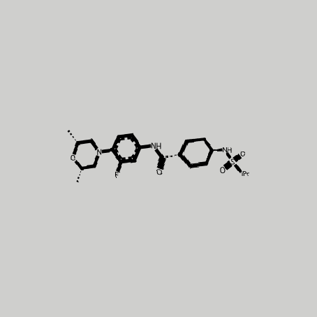 CC(C)S(=O)(=O)N[C@H]1CC[C@H](C(=O)Nc2ccc(N3C[C@@H](C)O[C@@H](C)C3)c(F)c2)CC1